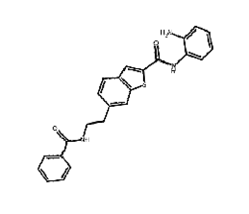 Nc1ccccc1NC(=O)c1cc2ccc(CCNC(=O)c3ccccc3)cc2s1